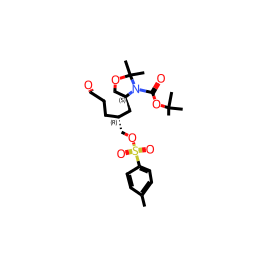 Cc1ccc(S(=O)(=O)OC[C@H](CCC=O)C[C@H]2COC(C)(C)N2C(=O)OC(C)(C)C)cc1